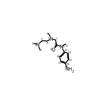 CN(C)CCN(C)CC(=O)N(C)c1ccc(N)cc1